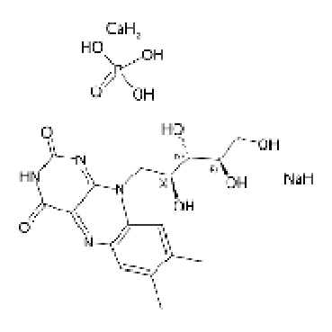 Cc1cc2nc3c(=O)[nH]c(=O)nc-3n(C[C@H](O)[C@H](O)[C@H](O)CO)c2cc1C.O=P(O)(O)O.[CaH2].[NaH]